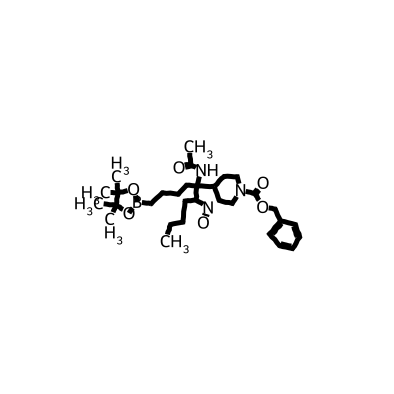 CCCCC(N=O)C(CCCCB1OC(C)(C)C(C)(C)O1)(NC(C)=O)C1CCN(C(=O)OCc2ccccc2)CC1